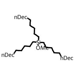 CCCCCCCCCCCCCCC[Si](CCCCCCCCCCCCCCC)(CCCCCCCCCCCCCCC)OC